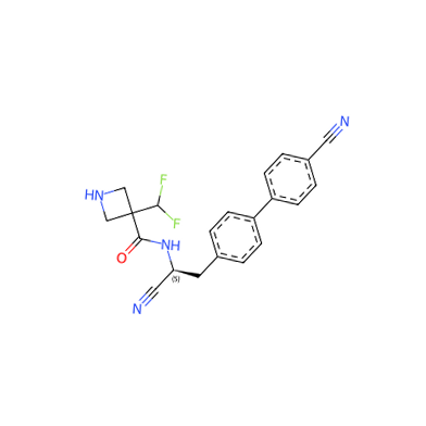 N#Cc1ccc(-c2ccc(C[C@@H](C#N)NC(=O)C3(C(F)F)CNC3)cc2)cc1